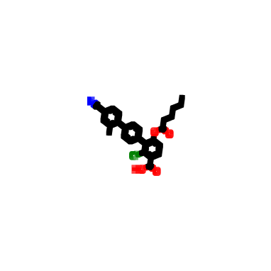 CCCCCC(=O)Oc1ccc(C(=O)O)c(Cl)c1-c1ccc(-c2ccc(C#N)cc2C)cc1